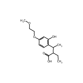 CCC(C(=O)O)C(C)c1ccc(OCCOC)cc1O